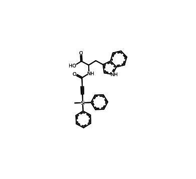 C[Si](C#CC(=O)NC(Cc1c[nH]c2ccccc12)C(=O)O)(c1ccccc1)c1ccccc1